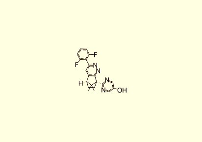 CC1(C)[C@H]2CC[C@]1(c1ncc(O)cn1)c1nnc(-c3c(F)cccc3F)cc12